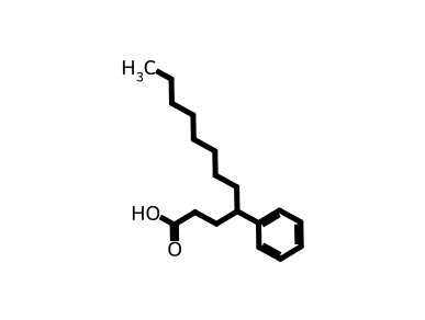 CCCCCCCCC(CCC(=O)O)c1ccccc1